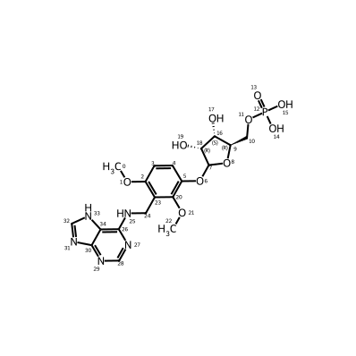 COc1ccc(OC2O[C@H](COP(=O)(O)O)[C@@H](O)[C@H]2O)c(OC)c1CNc1ncnc2nc[nH]c12